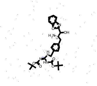 CC(C)(C)OC(=O)/N=C(/NCc1ccc(C[C@H](N)C(O)c2nc3ccccc3o2)cc1)NC(=O)OC(C)(C)C